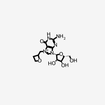 Nc1nc2c(c(=O)[nH]1)[n+](CC1CCO1)cn2[C@@H]1O[C@H](CO)[C@@H](O)[C@H]1O